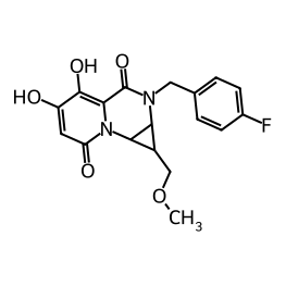 COCC1C2C1n1c(c(O)c(O)cc1=O)C(=O)N2Cc1ccc(F)cc1